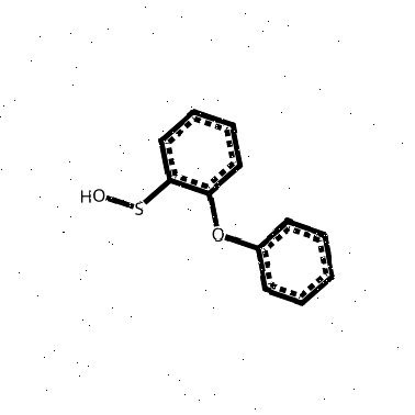 OSc1ccccc1Oc1ccccc1